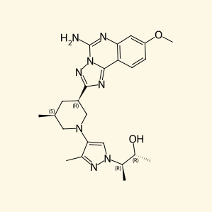 COc1ccc2c(c1)nc(N)n1nc([C@@H]3C[C@H](C)CN(c4cn([C@H](C)[C@@H](C)O)nc4C)C3)nc21